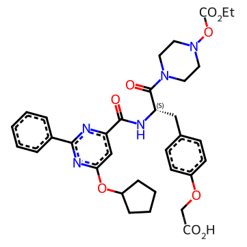 CCOC(=O)ON1CCN(C(=O)[C@H](Cc2ccc(OCC(=O)O)cc2)NC(=O)c2cc(OC3CCCC3)nc(-c3ccccc3)n2)CC1